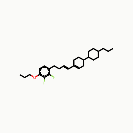 CCCOc1ccc(CC/C=C/C2=CCC(C3CCC(CCC)CC3)CC2)c(F)c1F